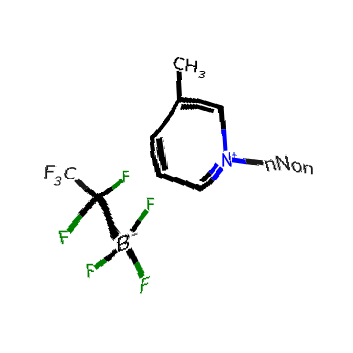 CCCCCCCCC[n+]1cccc(C)c1.F[B-](F)(F)C(F)(F)C(F)(F)F